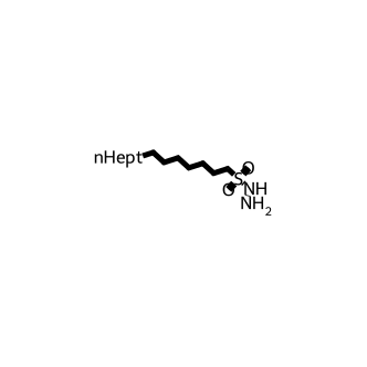 CCCCCCCCCCCCCCS(=O)(=O)NN